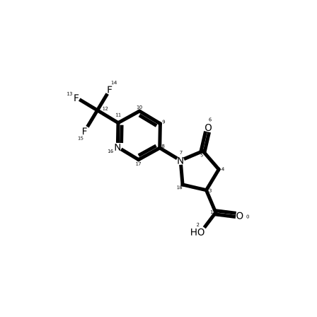 O=C(O)C1CC(=O)N(c2ccc(C(F)(F)F)nc2)C1